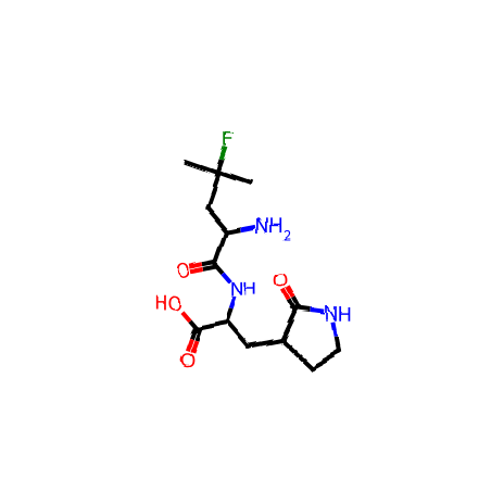 CC(C)(F)CC(N)C(=O)NC(CC1CCNC1=O)C(=O)O